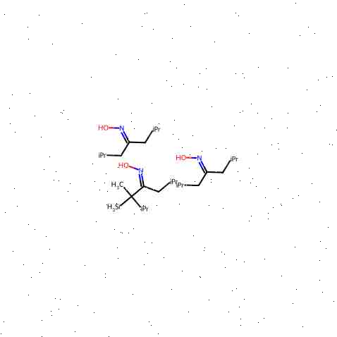 CC(C)CC(=NO)C(C)([SiH3])C(C)C.CC(C)CC(CC(C)C)=NO.CC(C)CC(CC(C)C)=NO